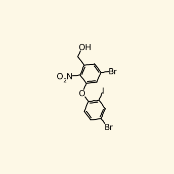 O=[N+]([O-])c1c(CO)cc(Br)cc1Oc1ccc(Br)cc1I